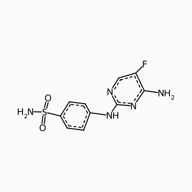 Nc1nc(Nc2ccc(S(N)(=O)=O)cc2)ncc1F